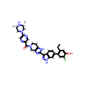 CCc1cc(O)c(F)cc1-c1ccc2c(-c3nc4c([nH]3)CCN(C(=O)c3cnc(N5C[C@@H](C)N[C@@H](C)C5)cn3)C4)n[nH]c2c1